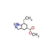 CCc1cc(C(=O)OC)cc2cn[nH]c12